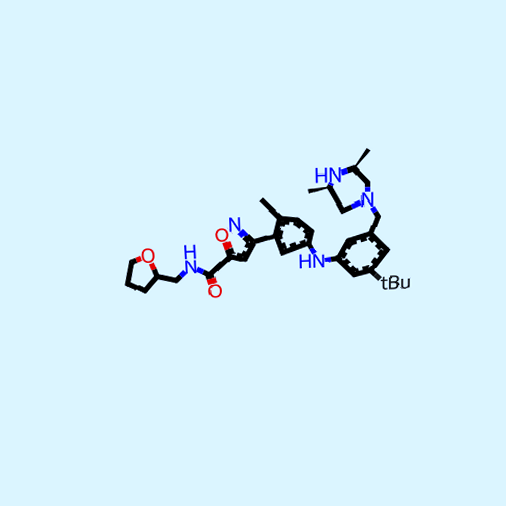 Cc1ccc(Nc2cc(CN3C[C@@H](C)N[C@@H](C)C3)cc(C(C)(C)C)c2)cc1-c1cc(C(=O)NCC2CCCO2)on1